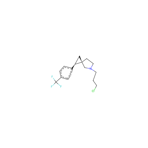 FC(F)(F)c1ccc([C@H]2C[C@]23CCN(CCCCl)C3)cc1